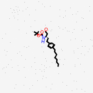 CCCCCCCCc1ccc(CC[C@@H](CC=O)NC(=O)OC(C)(C)C)cc1